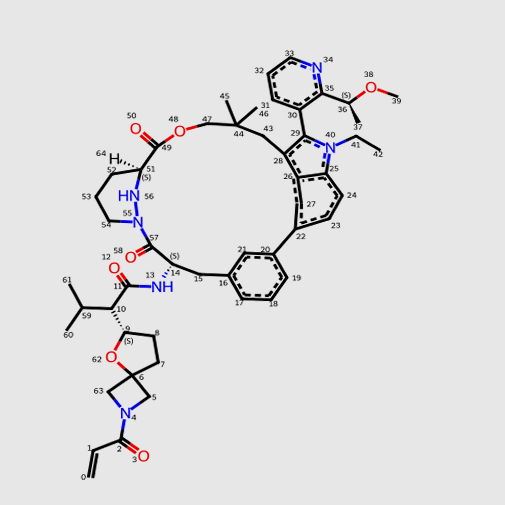 C=CC(=O)N1CC2(CC[C@@H](C(C(=O)N[C@H]3Cc4cccc(c4)-c4ccc5c(c4)c(c(-c4cccnc4[C@H](C)OC)n5CC)CC(C)(C)COC(=O)[C@@H]4CCCN(N4)C3=O)C(C)C)O2)C1